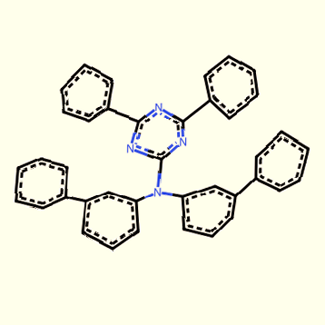 c1ccc(-c2cccc(N(c3cccc(-c4ccccc4)c3)c3nc(-c4ccccc4)nc(-c4ccccc4)n3)c2)cc1